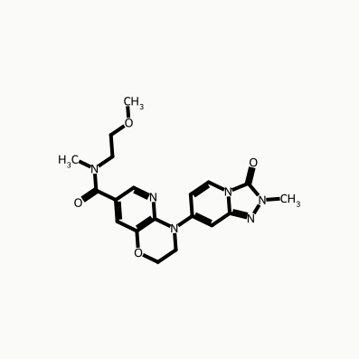 COCCN(C)C(=O)c1cnc2c(c1)OCCN2c1ccn2c(=O)n(C)nc2c1